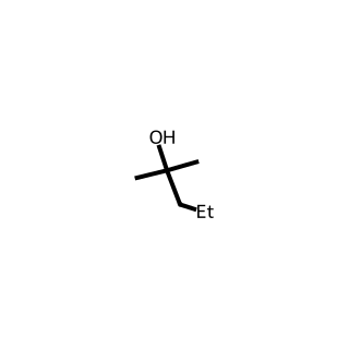 [CH2]CCC(C)(C)O